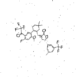 COc1cc(F)c(C(=O)C(F)(F)F)cc1C1=C(CN2C(=O)O[C@H](c3cc(C)cc(C(F)(F)F)c3)[C@@H]2C)CC(C)(C)CC1